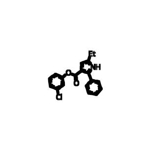 CCc1cc(C(=O)Oc2cccc(Cl)c2)c(-c2ccccc2)[nH]1